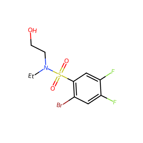 CCN(CCO)S(=O)(=O)c1cc(F)c(F)cc1Br